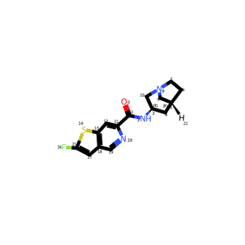 O=C(N[C@@H]1C[C@H]2CCN(C2)C1)c1cc2sc(F)cc2cn1